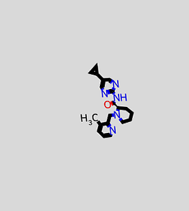 Cc1cccnc1CN1CCCC[C@@H]1C(=O)Nc1ncc(C2CC2)cn1